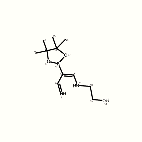 CC1(C)OB(/C(C=N)=C/NCCO)OC1(C)C